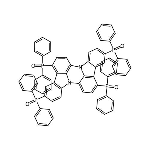 O=P(c1ccccc1)(c1ccccc1)c1ccc2c(c1)c1c(P(=O)(c3ccccc3)c3ccccc3)ccc3c1n2c1ccc(P(=O)(c2ccccc2)c2ccccc2)c2c4cc(P(=O)(c5ccccc5)c5ccccc5)ccc4n3c21